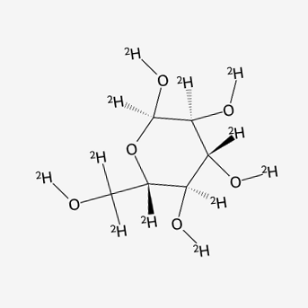 [2H]OC([2H])([2H])[C@]1([2H])O[C@@]([2H])(O[2H])[C@@]([2H])(O[2H])[C@]([2H])(O[2H])[C@@]1([2H])O[2H]